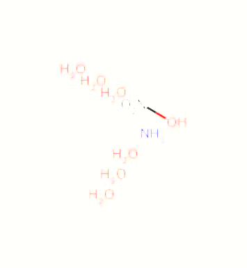 N.O.O.O.O.O.O.O=[N+]([O-])O